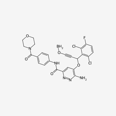 BOC#CC(Oc1cc(C(=O)Nc2ccc(C(=O)N3CCOCC3)cc2)nnc1N)c1c(Cl)ccc(F)c1Cl